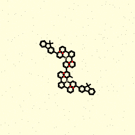 Cc1cc(-c2ccc(N(c3ccc(-c4ccc5c(c4)C(C)(C)c4ccccc4-5)cc3)c3c(-c4ccccc4)cccc3-c3ccccc3)c(C)c2)ccc1N(c1ccc(-c2ccc3c(c2)C(C)(C)c2ccccc2-3)cc1)c1c(-c2ccccc2)cccc1-c1ccccc1